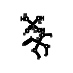 C=C[Si](OC)(OC)OC.O=P(O)(O)O